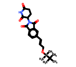 CC(C)(C)[Si](C)(C)OCC=Cc1ccc2c(c1)C(=O)N(C1CCC(=O)NC1=O)C2=O